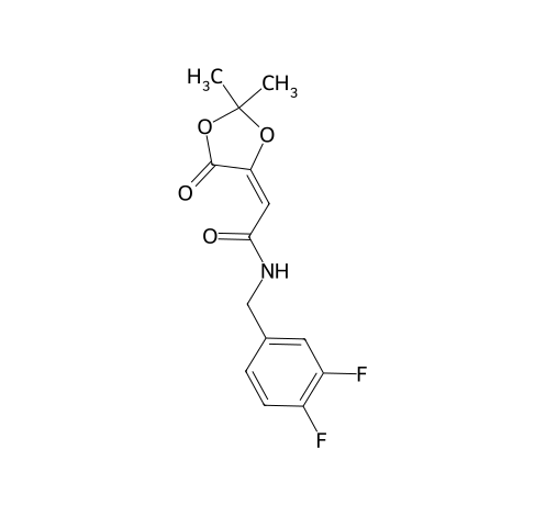 CC1(C)OC(=O)/C(=C\C(=O)NCc2ccc(F)c(F)c2)O1